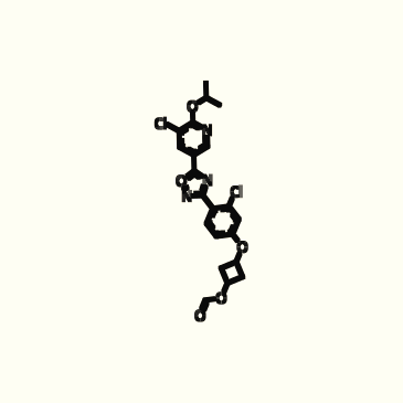 CC(C)Oc1ncc(-c2nc(-c3ccc(OC4CC(OC=O)C4)cc3Cl)no2)cc1Cl